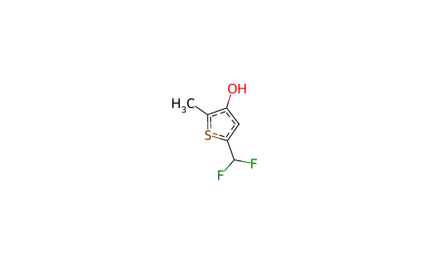 Cc1sc(C(F)F)cc1O